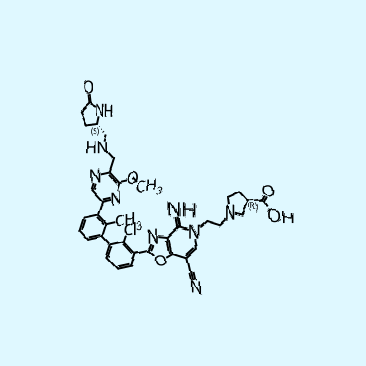 COc1nc(-c2cccc(-c3cccc(-c4nc5c(=N)n(CCN6CC[C@@H](C(=O)O)C6)cc(C#N)c5o4)c3Cl)c2C)cnc1CNC[C@@H]1CCC(=O)N1